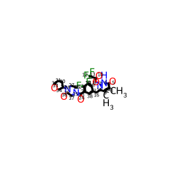 Cc1c(C)c(=O)[nH][n+](OC(=O)C(F)(F)F)c1Cc1ccc(F)c(C(=O)N2CCN(C3CCCOC3)C(=O)C2)c1